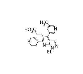 CCn1ncc2c(-c3cncc(C)c3)c(CCC(=O)O)c(-c3ccccc3)nc21